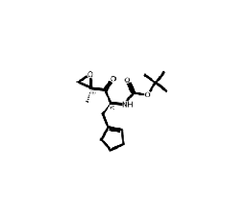 CC(C)(C)OC(=O)N[C@@H](CC1=CCCC1)C(=O)[C@@]1(C)CO1